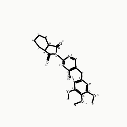 COc1cc(Cc2cnc(N3C(=O)C4CCCCC4C3=O)nc2N)cc(OC)c1OC